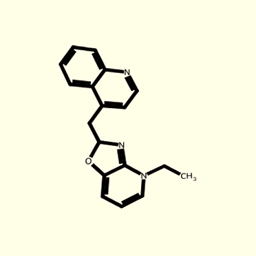 CCN1C=CC=C2OC(Cc3ccnc4ccccc34)N=C21